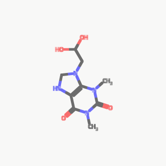 Cn1c2c(c(=O)n(C)c1=O)NCN2CC(O)O